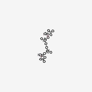 c1ccc(-c2nc(-c3ccc(-c4ccc(-c5cc(-c6cccc(-n7c8c(c9ccncc97)-c7ccccc7N(c7ccccc7)c7ccccc7-8)c6)nc(-c6ccccc6)n5)cc4)cc3)cc(-c3ccc(-n4c5c(c6cnccc64)-c4ccccc4N(c4ccccc4)c4ccccc4-5)cc3)n2)cc1